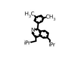 Cc1cc(C)cc(-c2ncc(CC(C)C)c3cc(CC(C)C)ccc23)c1